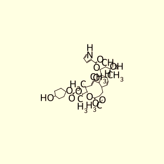 CO[C@H]1CC2C=C[C@@H]3C[C@]2(O[C@H]3[C@H](OC(=O)c2ccc[nH]2)[C@H](C)[C@H](C)O)/C(C)=C/[C@@H](C)[C@@H]([C@@H](C)OC(=O)OC2CCC(O)CC2)OC1=O